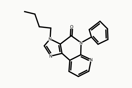 CCCCn1cnc2c3cccnc3n(-c3ccccc3)c(=O)c21